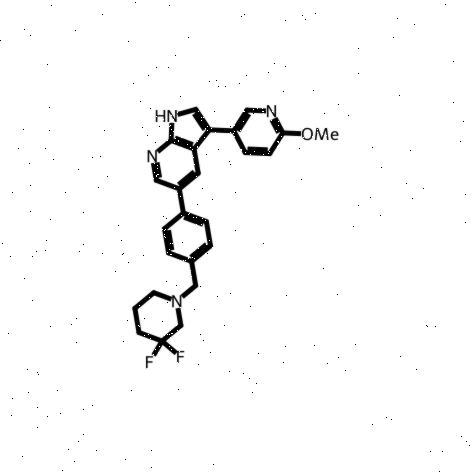 COc1ccc(-c2c[nH]c3ncc(-c4ccc(CN5CCCC(F)(F)C5)cc4)cc23)cn1